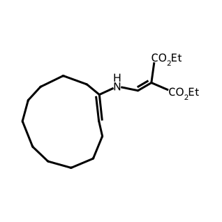 CCOC(=O)C(=CN/C1=C\CCCCCCCCCC1)C(=O)OCC